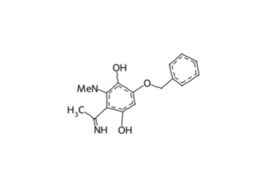 CNc1c(O)c(OCc2ccccc2)cc(O)c1C(C)=N